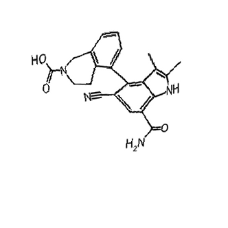 Cc1[nH]c2c(C(N)=O)cc(C#N)c(-c3cccc4c3CCN(C(=O)O)C4)c2c1C